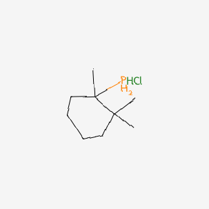 CC1(C)CCCCC1(C)P.Cl